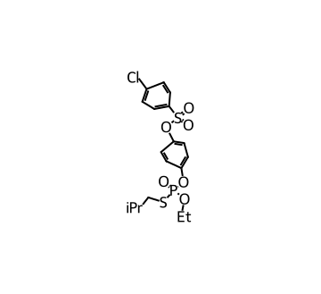 CCOP(=O)(Oc1ccc(OS(=O)(=O)c2ccc(Cl)cc2)cc1)SCC(C)C